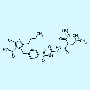 CCCCc1nc(Cl)c(C(=O)O)n1Cc1ccc(S(=O)(=O)NC(=O)CNC(=O)C(CC(C)C)C(=O)NO)cc1